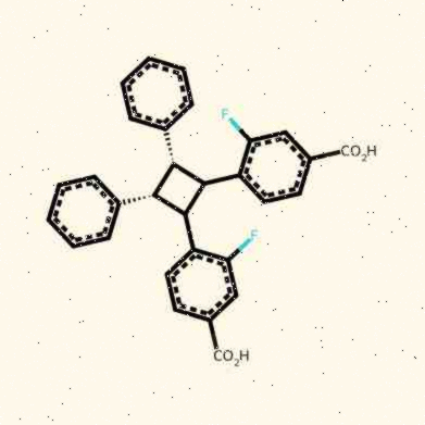 O=C(O)c1ccc(C2C(c3ccc(C(=O)O)cc3F)[C@H](c3ccccc3)[C@@H]2c2ccccc2)c(F)c1